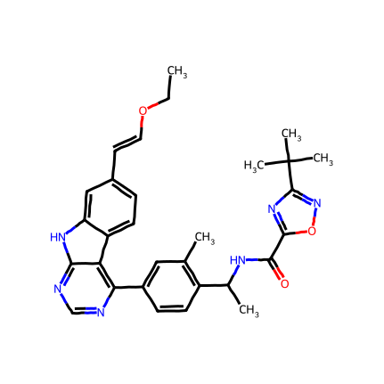 CCOC=Cc1ccc2c(c1)[nH]c1ncnc(-c3ccc(C(C)NC(=O)c4nc(C(C)(C)C)no4)c(C)c3)c12